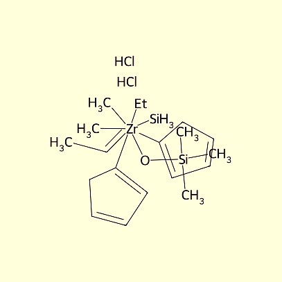 C[CH]=[Zr]([CH3])([CH3])([SiH3])([CH2]C)([O][Si](C)(C)C)([C]1=CC=CC1)[C]1=CC=CC1.Cl.Cl